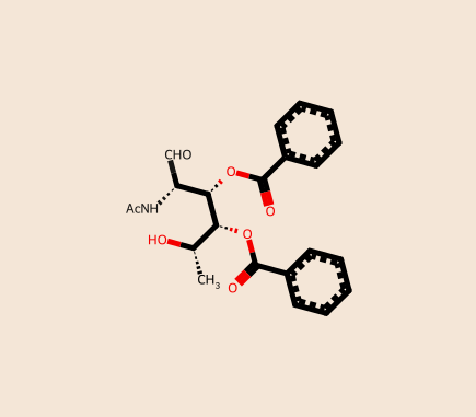 CC(=O)N[C@H](C=O)[C@H](OC(=O)c1ccccc1)[C@H](OC(=O)c1ccccc1)[C@H](C)O